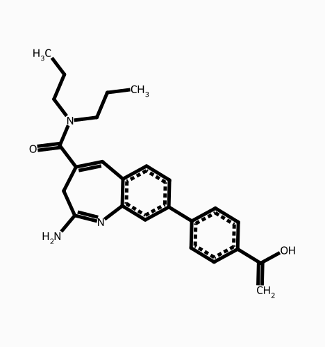 C=C(O)c1ccc(-c2ccc3c(c2)N=C(N)CC(C(=O)N(CCC)CCC)=C3)cc1